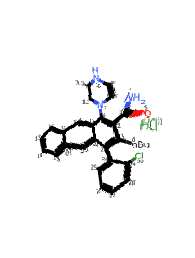 CCCCc1c(C(N)=O)c(N2CCNCC2)c2cc3ccccc3cc2c1-c1ccccc1Cl.Cl